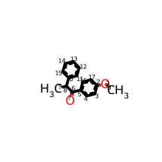 COc1ccc(C(=O)C(C)c2ccccc2)cc1